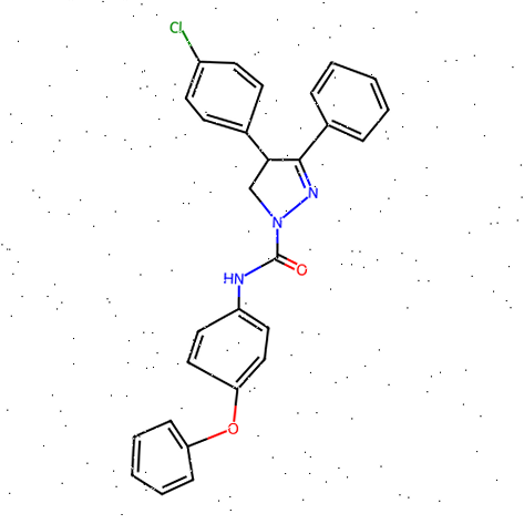 O=C(Nc1ccc(Oc2ccccc2)cc1)N1CC(c2ccc(Cl)cc2)C(c2ccccc2)=N1